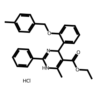 CCOC(=O)C1=C(C)NC(c2ccccc2)=NC1c1ccccc1OCc1ccc(C)cc1.Cl